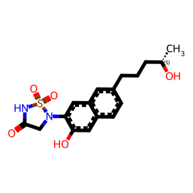 C[C@H](O)CCCc1ccc2cc(O)c(N3CC(=O)NS3(=O)=O)cc2c1